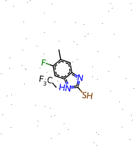 CC(F)(F)F.Cc1cc2nc(S)[nH]c2cc1F